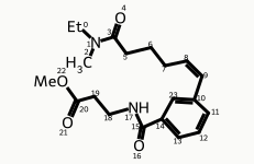 CCN(C)C(=O)CCC/C=C\c1cccc(C(=O)NCCC(=O)OC)c1